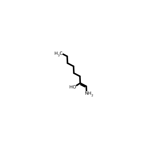 CCCCCCC(O)=CN